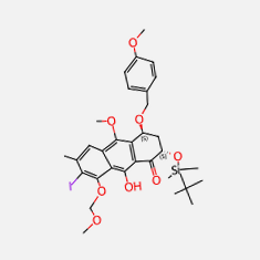 COCOc1c(I)c(C)cc2c(OC)c3c(c(O)c12)C(=O)[C@@H](O[Si](C)(C)C(C)(C)C)C[C@@H]3OCc1ccc(OC)cc1